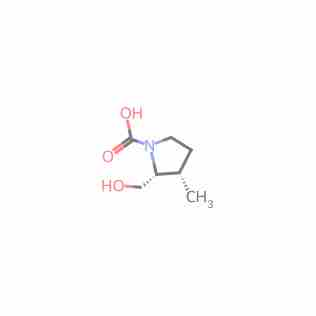 C[C@H]1CCN(C(=O)O)[C@H]1CO